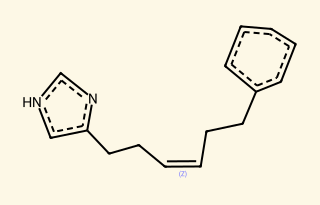 C(=C/CCc1c[nH]cn1)/CCc1ccccc1